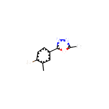 CCc1nnc(-c2ccc(Br)c(C)c2)o1